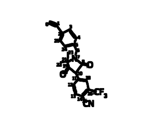 C#Cc1ccc(CN2C(=O)C(c3ccc(C#N)c(C(F)(F)F)c3)C(=O)C2(C)C)cc1